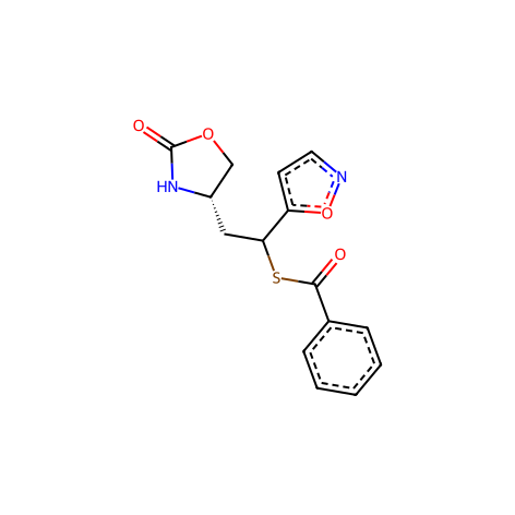 O=C1N[C@@H](CC(SC(=O)c2ccccc2)c2ccno2)CO1